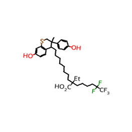 CCC(CCCCCCCCC1c2ccc(O)cc2SCC1(C)c1ccc(O)cc1)(CCCCC(F)(F)C(F)(F)F)C(=O)O